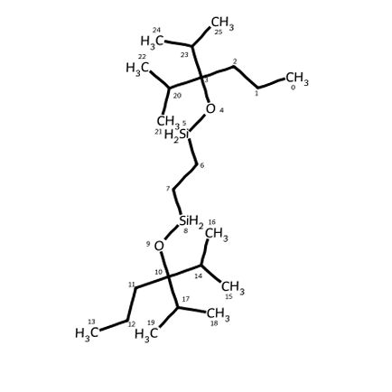 CCCC(O[SiH2]CC[SiH2]OC(CCC)(C(C)C)C(C)C)(C(C)C)C(C)C